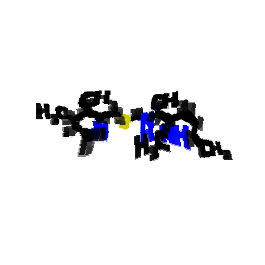 C=C/C=C\C(NC)=C(/C)NCSCc1nccc(C)c1C